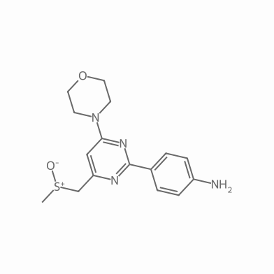 C[S+]([O-])Cc1cc(N2CCOCC2)nc(-c2ccc(N)cc2)n1